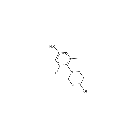 Cc1cc(F)c(N2CC=C(O)CC2)c(F)c1